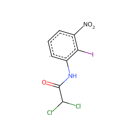 O=C(Nc1[c]ccc([N+](=O)[O-])c1I)C(Cl)Cl